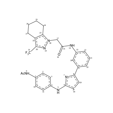 CC(=O)Nc1ccc(Nc2nc(-c3cccc(NC(=O)Cn4nc(C(F)(F)F)c5c4CCCC5)c3)cs2)cc1